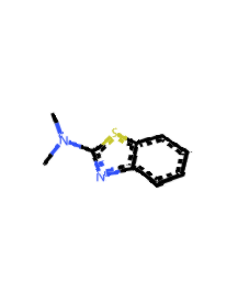 CN(C)c1nc2cc[c]cc2s1